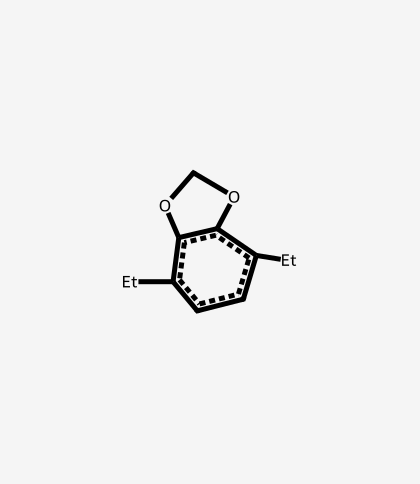 CCc1ccc(CC)c2c1OCO2